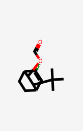 CC(C)(C)C1C2C=C(F)C(CC2)C1OC=O